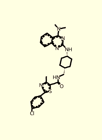 Cc1nc(-c2ccc(Cl)cc2)sc1C(=O)NC[C@H]1CC[C@@H](Nc2nc(N(C)C)c3ccccc3n2)CC1